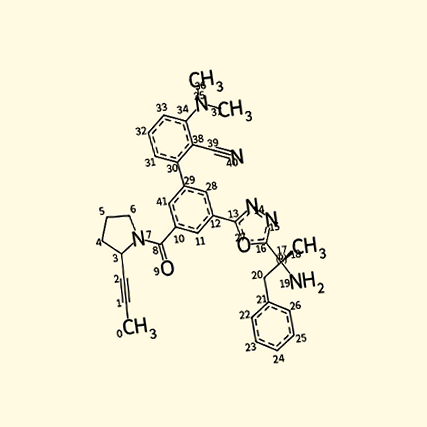 CC#CC1CCCN1C(=O)c1cc(-c2nnc([C@](C)(N)Cc3ccccc3)o2)cc(-c2cccc(N(C)C)c2C#N)c1